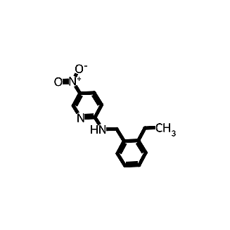 CCc1ccccc1CNc1ccc([N+](=O)[O-])cn1